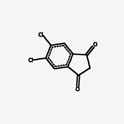 O=C1CC(=O)c2cc(Cl)c(Cl)cc21